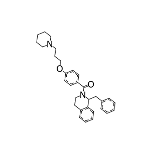 O=C(c1ccc(OCCCN2CCCCC2)cc1)N1CCc2ccccc2C1Cc1ccccc1